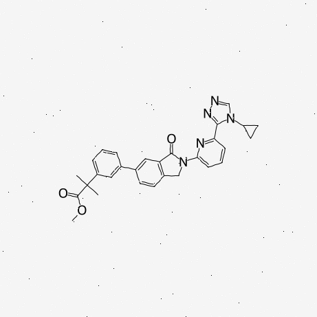 COC(=O)C(C)(C)c1cccc(-c2ccc3c(c2)C(=O)N(c2cccc(-c4nncn4C4CC4)n2)C3)c1